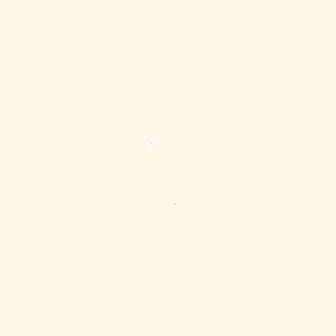 c1ccc(-c2ccc(N3c4cc5c(cc4-c4cccc6cccc3c46)-c3ccccc3C5(c3ccccc3)c3ccccc3)cc2)cc1